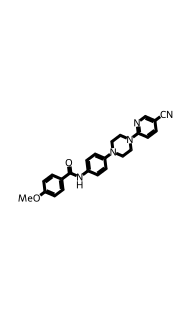 COc1ccc(C(=O)Nc2ccc(N3CCN(c4ccc(C#N)cn4)CC3)cc2)cc1